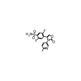 Cc1ccc(-n2c(-c3cc(F)c(S(N)(=O)=O)cc3F)coc2=O)cn1